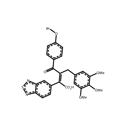 COc1cc(CC(C(=O)c2ccc(OC(C)C)cc2)=C(C(=O)O)c2ccc3nsnc3c2)cc(OC)c1OC